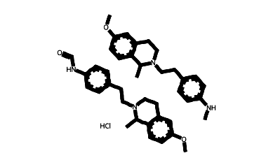 CNc1ccc(CCN2CCc3cc(OC)ccc3C2C)cc1.COc1ccc2c(c1)CCN(CCc1ccc(NC=O)cc1)C2C.Cl